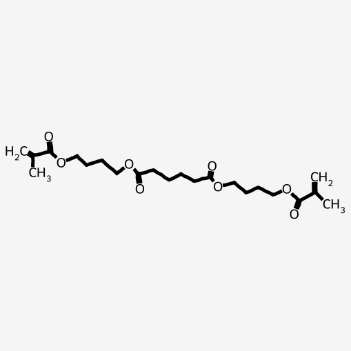 C=C(C)C(=O)OCCCCOC(=O)CCCCC(=O)OCCCCOC(=O)C(=C)C